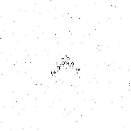 O.O.O.[Fe].[Fe].[Ti]